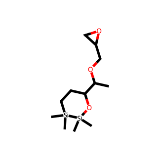 CC(OCC1CO1)C1CC[Si](C)(C)[Si](C)(C)O1